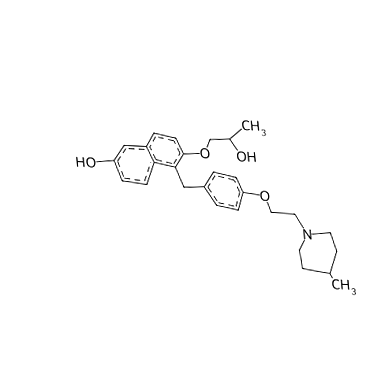 CC(O)COc1ccc2cc(O)ccc2c1Cc1ccc(OCCN2CCC(C)CC2)cc1